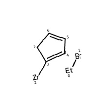 CCBr.[Zr][C]1=CC=CC1